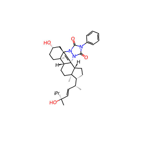 CC(C)[C@](C)(O)/C=C/[C@@H](C)[C@H]1CC[C@@H]2[C@]1(C)CC[C@H]1[C@@]23C=C[C@@]2(C[C@@H](O)CC[C@]12C)n1c(=O)n(-c2ccccc2)c(=O)n13